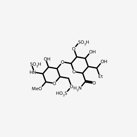 CCC(O)C1C(C(N)=O)OC(OC2C(COS(=O)(=O)O)OC(OC)C(NS(=O)(=O)O)C2O)C(OS(=O)(=O)O)C1O